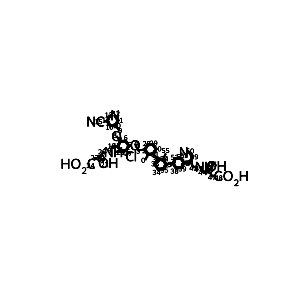 Cc1c(COc2cc(OCc3cncc(C#N)c3)c(CNC[C@@H](O)CC(=O)O)cc2Cl)cccc1-c1cccc(-c2ccc3c(CNC[C@@H](O)CC(=O)O)ccnc3c2)c1C